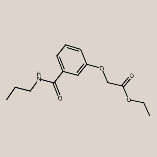 CCCNC(=O)c1cccc(OCC(=O)OCC)c1